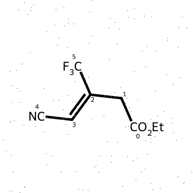 CCOC(=O)C/C(=C/C#N)C(F)(F)F